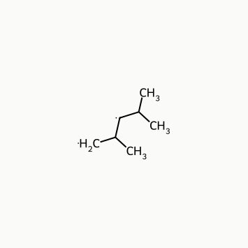 [CH2]C(C)[CH]C(C)C